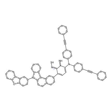 N=C1C(N(c2ccc(C#Cc3ccccc3)cc2)c2ccc(C#Cc3ccccc3)cc2)=CC=C(c2ccc3ccc4c(c3c2)c2ccccc2n4-c2ccc3oc4ccccc4c3c2)/C1=N/S